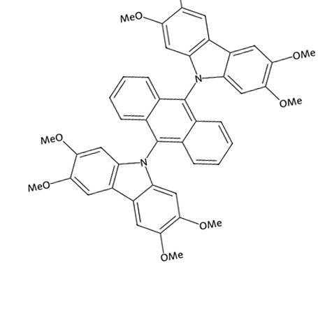 COc1cc2c3cc(OC)c(OC)cc3n(-c3c4ccccc4c(-n4c5cc(OC)c(OC)cc5c5cc(OC)c(OC)cc54)c4ccccc34)c2cc1OC